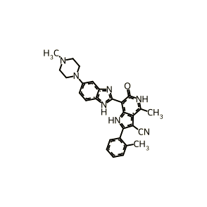 Cc1ccccc1-c1[nH]c2c(-c3nc4cc(N5CCN(C)CC5)ccc4[nH]3)c(=O)[nH]c(C)c2c1C#N